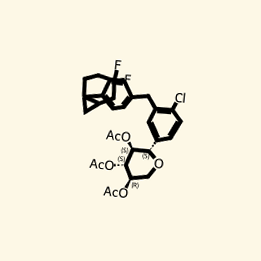 CC(=O)O[C@@H]1[C@@H](OC(C)=O)[C@H](c2ccc(Cl)c(Cc3ccc(C45CCC(F)(F)CC4C5)cc3)c2)OC[C@H]1OC(C)=O